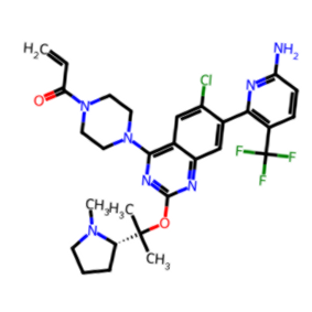 C=CC(=O)N1CCN(c2nc(OC(C)(C)[C@@H]3CCCN3C)nc3cc(-c4nc(N)ccc4C(F)(F)F)c(Cl)cc23)CC1